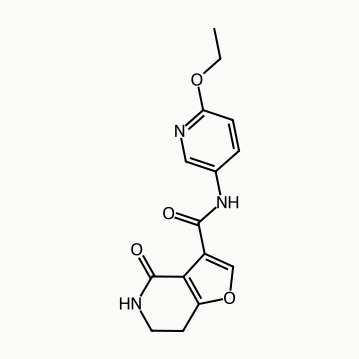 CCOc1ccc(NC(=O)c2coc3c2C(=O)NCC3)cn1